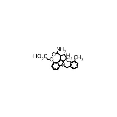 Cc1cccc(Cn2c3c(c4c(OCC(=O)O)cccc42)C(C(N)=O)CC3)c1C